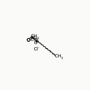 CCC=CCC=CCC=CCCCCCCCC(=O)OCC[N+](C)(C)Cc1ccccc1.[Cl-]